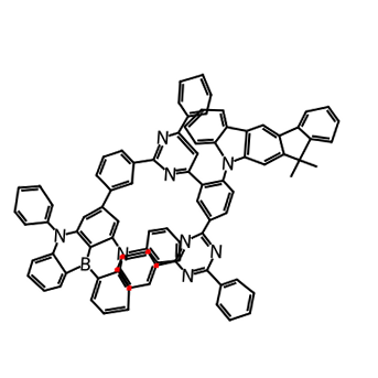 CC1(C)c2ccccc2-c2cc3c4ccccc4n(-c4ccc(-c5nc(-c6ccccc6)nc(-c6ccccc6)n5)cc4-c4cc(-c5ccccc5)nc(-c5cccc(-c6cc7c8c(c6)N(c6ccccc6)c6ccccc6B8c6ccccc6N7c6ccccc6)c5)n4)c3cc21